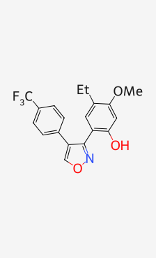 CCc1cc(-c2nocc2-c2ccc(C(F)(F)F)cc2)c(O)cc1OC